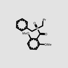 COc1cccc(OC)c1C(=O)P(=O)(Cc1ccccc1)CC(C)C